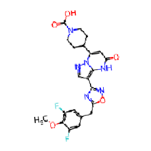 COc1c(F)cc(Cc2nc(-c3cnn4c(C5CCN(C(=O)O)CC5)cc(=O)[nH]c34)no2)cc1F